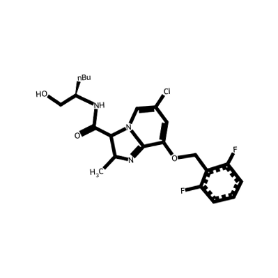 CCCC[C@H](CO)NC(=O)C1C(C)N=C2C(OCc3c(F)cccc3F)=CC(Cl)=CN21